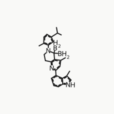 BC1(B)c2c(C)cc(-c3cccc4[nH]cc(C)c34)nc2CCN1c1cc(C(C)C)ccc1C